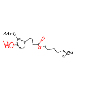 CC[C@H](C)CCCCCOC(=O)CCc1ccc(O)c(OC)c1